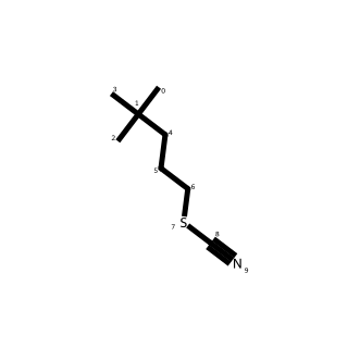 CC(C)(C)CCCSC#N